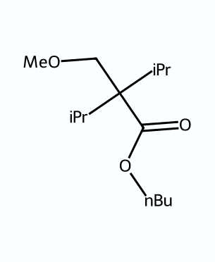 CCCCOC(=O)C(COC)(C(C)C)C(C)C